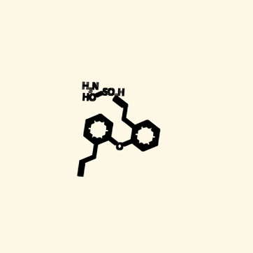 C=CCc1ccccc1Oc1ccccc1CC=C.N.O=S(=O)(O)O